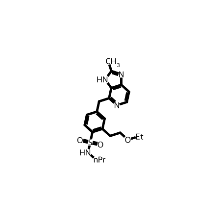 CCCNS(=O)(=O)c1ccc(Cc2nccc3nc(C)[nH]c23)cc1CCOCC